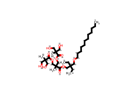 CCCCCCCCCCCCOCC(CC)(CC)COC(=O)C(C)(COC(=O)C(C)(CO)CO)COC(=O)C(C)(CO)CO